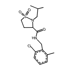 Cc1cccc(Cl)c1CNC(=O)C1CCS(=O)(=O)N1CC(C)C